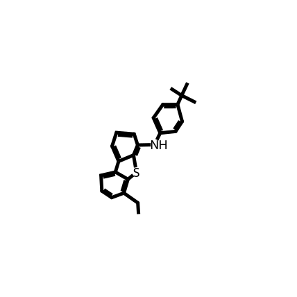 CCc1cccc2c1sc1c(Nc3ccc(C(C)(C)C)cc3)cccc12